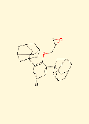 CCc1cc(C23CC4CC(CC(C4)C2)C3)c(OCC2CO2)c(C23CC4CC(CC(C4)C2)C3)c1